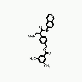 CNCC(C(=O)Nc1ccc2cnccc2c1)c1ccc(COC(=O)c2cc(C)cc(C)c2)cc1